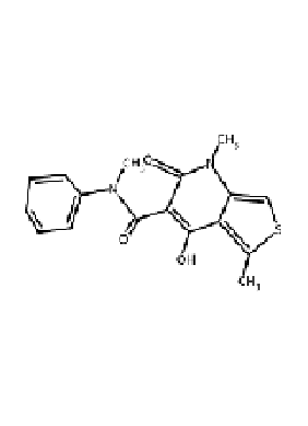 Cc1scc2c1c(O)c(C(=O)N(C)c1ccccc1)c(=O)n2C